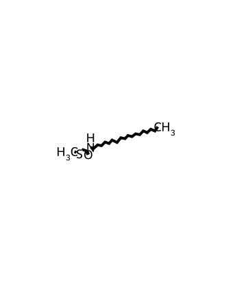 CCCCCCCCCCCCCCCCCCNC(=O)CSC